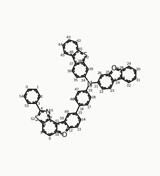 c1ccc(-c2nc3c(ccc4oc5ccc(-c6ccc(N(c7ccc8c(c7)oc7ccccc78)c7ccc8c(c7)sc7ccccc78)cc6)cc5c43)s2)cc1